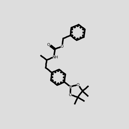 CC(Cc1ccc(B2OC(C)(C)C(C)(C)O2)cc1)NC(=O)OCc1ccccc1